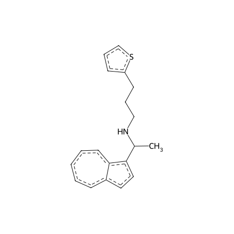 CC(NCCCc1cccs1)c1ccc2cccccc1-2